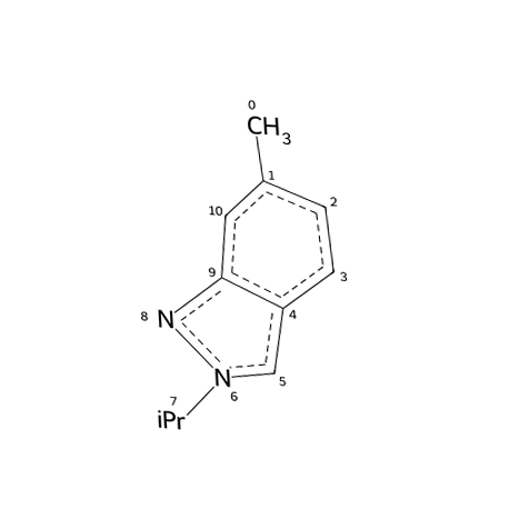 Cc1ccc2cn(C(C)C)nc2c1